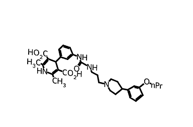 CCCOc1cccc(C2CCN(CCCNC(=O)Nc3cccc(C4C(C(=O)O)=C(C)NC(C)=C4C(=O)O)c3)CC2)c1